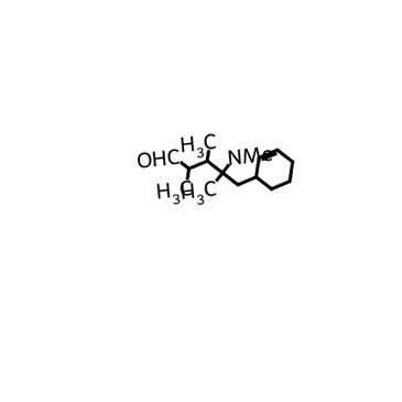 CNC(C)(CC1C=CCCC1)C(C)C(C)C=O